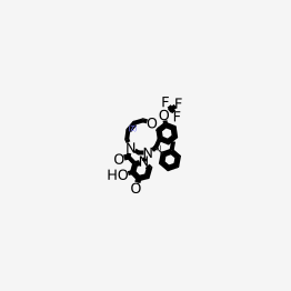 Cc1ccccc1[C@H]1c2cccc(OC(F)(F)F)c2OC/C=C\CN2CN1n1ccc(=O)c(O)c1C2=O